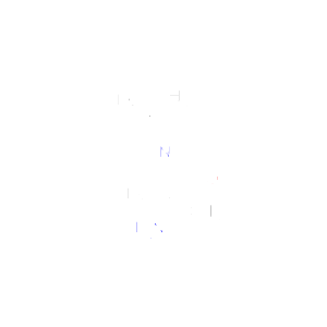 CC1(C)CCN(C(=O)C(C)(C)N)C1